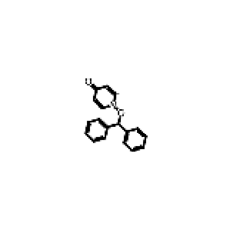 O=c1c[c]n(OC(c2ccccc2)c2ccccc2)cc1